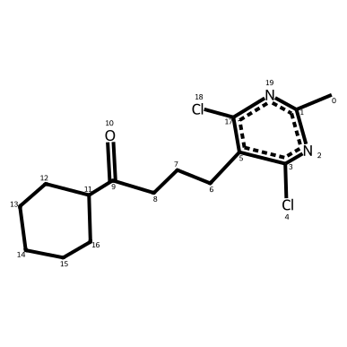 Cc1nc(Cl)c(CCCC(=O)C2CCCCC2)c(Cl)n1